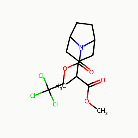 COC(=O)C(C)C1CC2CCC(C1)N2C(=O)OCC(Cl)(Cl)Cl